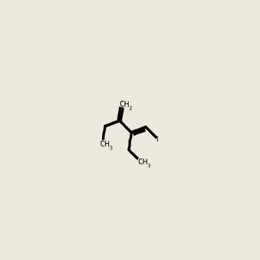 C=C(CC)C(=CI)CC